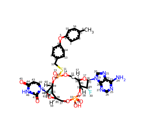 Cc1ccc(Oc2ccc(CSP3(=O)OC[C@H]4O[C@@H](n5cnc6c(N)ncnc65)[C@H](F)[C@@H]4OP(=O)(O)OC[C@H]4O[C@@H](n5ccc(=O)[nH]c5=O)[C@H](O3)[C@@H]4F)cc2)cc1